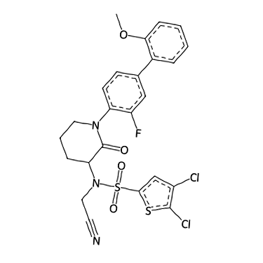 COc1ccccc1-c1ccc(N2CCCC(N(CC#N)S(=O)(=O)c3cc(Cl)c(Cl)s3)C2=O)c(F)c1